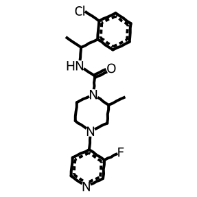 CC(NC(=O)N1CCN(c2ccncc2F)CC1C)c1ccccc1Cl